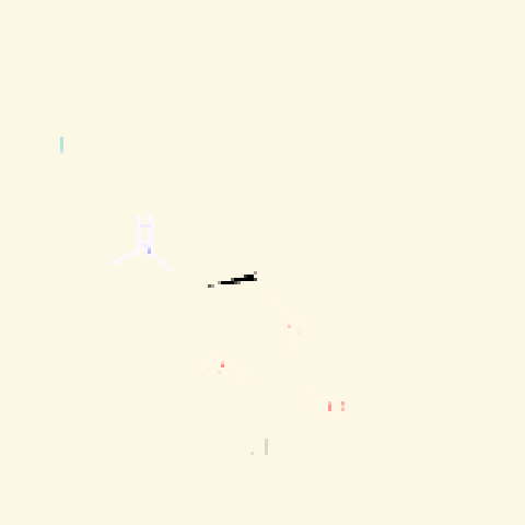 CS(=O)(=O)OC(C(c1ccccc1)c1cccc(F)c1)[C@H]1CCCN1